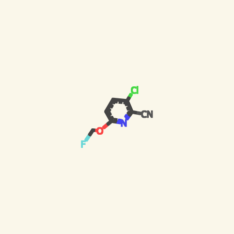 N#Cc1nc(OCF)ccc1Cl